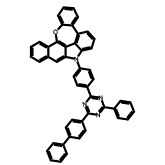 c1ccc(-c2ccc(-c3nc(-c4ccccc4)nc(-c4ccc(-n5c6cccc7c8ccccc8oc8c9ccccc9cc5c8c76)cc4)n3)cc2)cc1